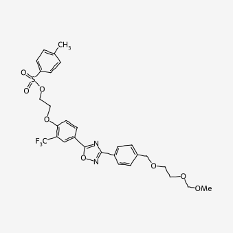 COCOCCOCc1ccc(-c2noc(-c3ccc(OCCOS(=O)(=O)c4ccc(C)cc4)c(C(F)(F)F)c3)n2)cc1